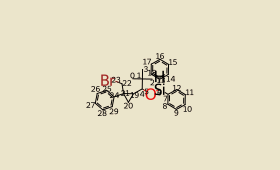 CC(C)(C)C(O[SiH](c1ccccc1)c1ccccc1)C1CC1(CBr)c1ccccc1